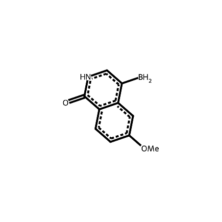 Bc1c[nH]c(=O)c2ccc(OC)cc12